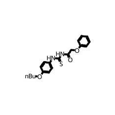 CCCCOc1ccc(NC(=S)NC(=O)COc2ccccc2)cc1